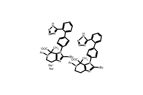 CCCCc1nc2c(n1-c1ccc(-c3ccccc3-c3nnn[nH]3)cc1)C(C)(C(=O)[O-])N(C(C)=O)CC2.CCCCc1nc2c(n1-c1ccc(-c3ccccc3-c3nnn[nH]3)cc1)C(C)(C(=O)[O-])N(C(C)=O)CC2.[Na+].[Na+]